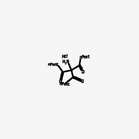 CCCCCC(=O)C(N)(C(=O)CCCCC)C(=O)CCCCC.Cl